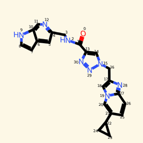 O=C(NCc1cc2cc[nH]c2cn1)c1cn(Cc2cn3cc(C4CC4)ccc3n2)nn1